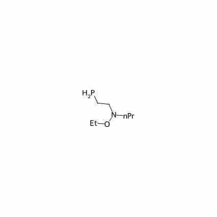 CCCN(CCP)OCC